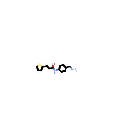 NCc1ccc(NC(=O)C=Cc2cccs2)cc1